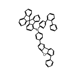 c1ccc(-c2ccccc2-c2ccc(N(c3ccc(-c4ccc5oc6c(-c7ccccc7)cccc6c5c4)cc3)c3cccc4c3-c3ccccc3C43c4ccccc4-c4ccccc43)cc2)cc1